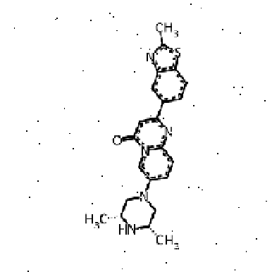 Cc1nc2cc(-c3cc(=O)n4cc(N5C[C@@H](C)N[C@@H](C)C5)ccc4n3)ccc2s1